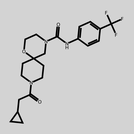 O=C(CC1CC1)N1CCC2(CC1)CN(C(=O)Nc1ccc(C(F)(F)F)cc1)CCO2